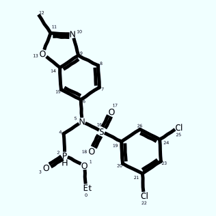 CCO[PH](=O)CN(c1ccc2nc(C)oc2c1)S(=O)(=O)c1cc(Cl)cc(Cl)c1